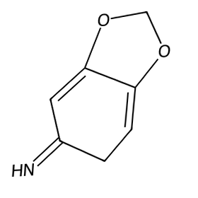 N=C1C=C2OCOC2=CC1